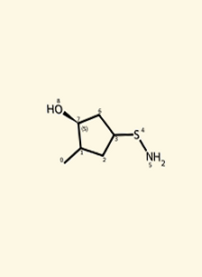 CC1CC(SN)C[C@@H]1O